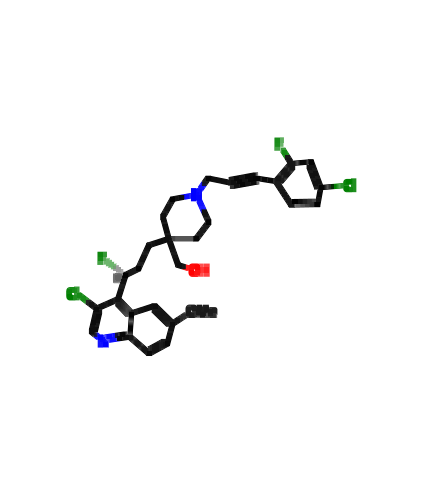 COc1ccc2ncc(Cl)c([C@H](F)CCC3(CO)CCN(CC#Cc4ccc(Cl)cc4F)CC3)c2c1